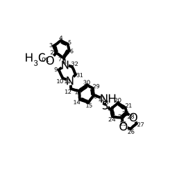 COc1ccccc1N1CCN(Cc2ccc(NSc3ccc4c(c3)OCCO4)cc2)CC1